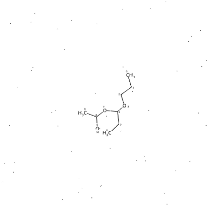 CCCOC(CC)OC(C)[O]